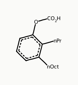 CCCCCCCCc1cccc(OC(=O)O)c1CCC